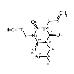 C=CCn1c(=O)n(CC=C)c(=O)n(CC(CC)C(C)CC)c1=O